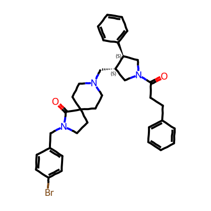 O=C(CCc1ccccc1)N1C[C@H](CN2CCC3(CC2)CCN(Cc2ccc(Br)cc2)C3=O)[C@@H](c2ccccc2)C1